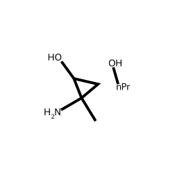 CC1(N)CC1O.CCCO